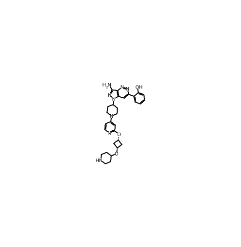 Nc1nn(C2CCN(c3ccnc(O[C@H]4C[C@H](OC5CCNCC5)C4)c3)CC2)c2cc(-c3ccccc3O)nnc12